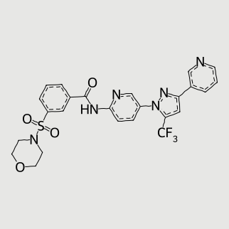 O=C(Nc1ccc(-n2nc(-c3cccnc3)cc2C(F)(F)F)cn1)c1cccc(S(=O)(=O)N2CCOCC2)c1